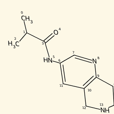 CC(C)C(=O)Nc1cnc2c(c1)CNCC2